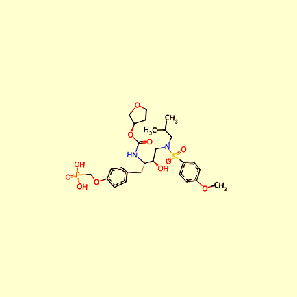 COc1ccc(S(=O)(=O)N(CC(C)C)C[C@@H](O)[C@H](Cc2ccc(OCP(=O)(O)O)cc2)NC(=O)O[C@@H]2CCOC2)cc1